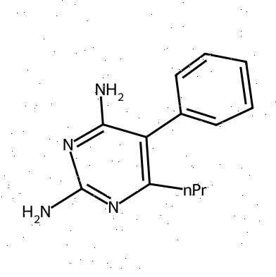 CCCc1nc(N)nc(N)c1-c1ccccc1